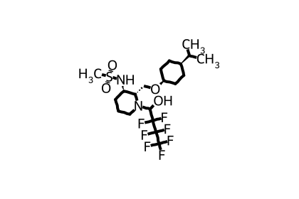 CC(C)[C@H]1CC[C@@H](OC[C@H]2[C@@H](NS(C)(=O)=O)CCCN2C(O)C(F)(F)C(F)(F)C(F)(F)F)CC1